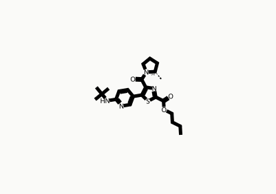 CCCCOC(=O)c1nc(C(=O)N2CCC[C@@H]2C)c(-c2ccc(NC(C)(C)C)nc2)s1